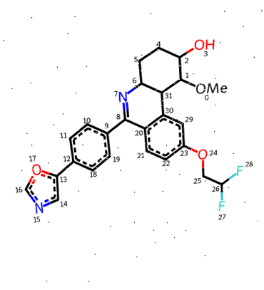 COC1C(O)CCC2N=C(c3ccc(-c4cnco4)cc3)c3ccc(OCC(F)F)cc3C21